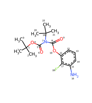 CC(C)(C)OC(=O)N(C(=O)Oc1cccc(N)c1F)C(C)(C)C